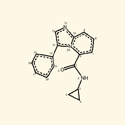 O=C(NC1CC1)c1cccc2ncc(-c3ccccc3)n12